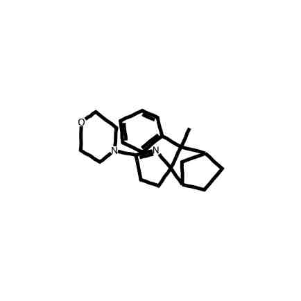 CC1(c2ccccc2)C2CCC(C2)C12CCC(N1CCOCC1)=N2